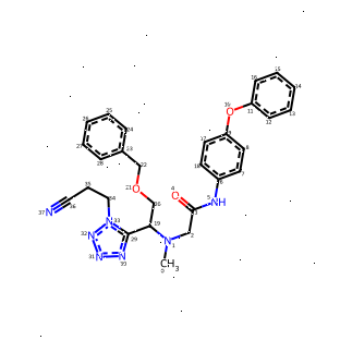 CN(CC(=O)Nc1ccc(Oc2ccccc2)cc1)C(COCc1ccccc1)c1nnnn1CCC#N